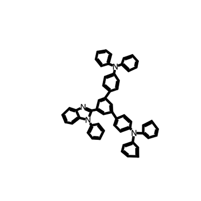 c1ccc(N(c2ccccc2)c2ccc(-c3cc(-c4ccc(N(c5ccccc5)c5ccccc5)cc4)cc(-c4nc5ccccc5n4-c4ccccc4)c3)cc2)cc1